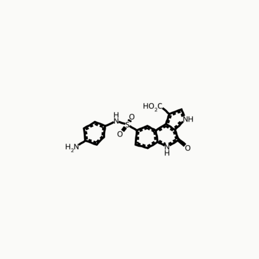 Nc1ccc(NS(=O)(=O)c2ccc3[nH]c(=O)c4[nH]cc(C(=O)O)c4c3c2)cc1